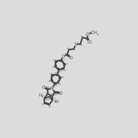 COC(=O)CCSCCC(=O)Oc1ccc(-c2ccc(N3C(=O)C4C(C3=O)[C@H]3C=C[C@@H]4C3)cc2)cc1